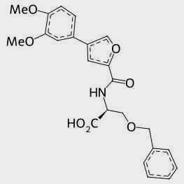 COc1ccc(-c2coc(C(=O)N[C@@H](COCc3ccccc3)C(=O)O)c2)cc1OC